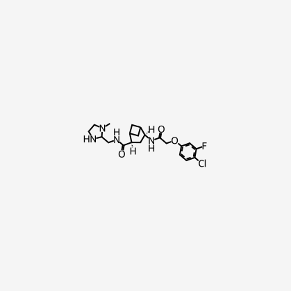 CN1CCNC1CNC(=O)[C@@H]1C[C@H](NC(=O)COc2ccc(Cl)c(F)c2)C2CC1C2